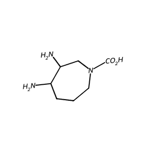 NC1CCCN(C(=O)O)CC1N